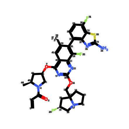 C=CC(=O)N1C[C@H](Oc2nc(OCC34CCCN3C[C@H](F)C4)nc3c(F)c(-c4ccc(F)c5sc(N)nc45)c(C(F)(F)F)cc23)C[C@@H]1C